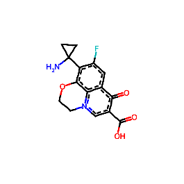 NC1(c2c(F)cc3c(=O)c(C(=O)O)cn4c3c2OCC4)CC1